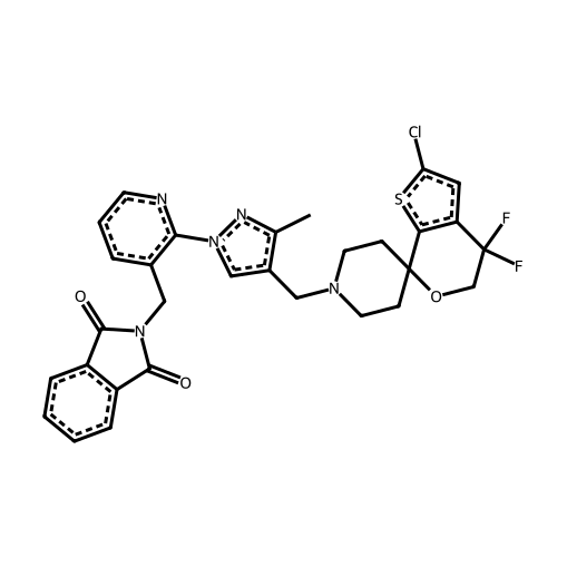 Cc1nn(-c2ncccc2CN2C(=O)c3ccccc3C2=O)cc1CN1CCC2(CC1)OCC(F)(F)c1cc(Cl)sc12